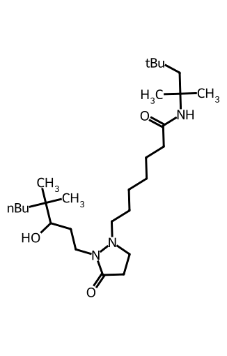 CCCCC(C)(C)C(O)CCN1C(=O)CCN1CCCCCCC(=O)NC(C)(C)CC(C)(C)C